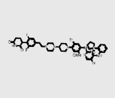 CCc1cc(Nc2ncc(Br)c(Nc3ccccc3P3(=O)CCCC3)n2)c(OC)cc1N1CCC(N2CCN(CCc3cc(F)c(C4CCC(=O)NC4=O)c(F)c3)CC2)CC1